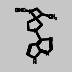 CC1CN(C=O)C12CCN(c1ncnc3[nH]ccc13)C2